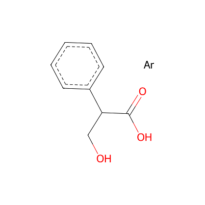 O=C(O)C(CO)c1ccccc1.[Ar]